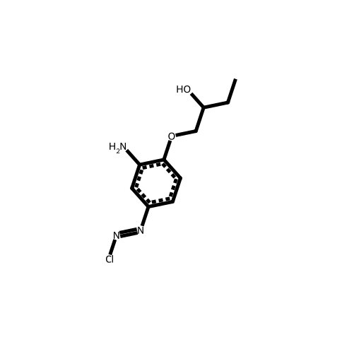 CCC(O)COc1ccc(N=NCl)cc1N